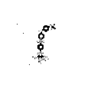 CC1(C)OB(c2ccc(S(=O)(=O)N3CCC(Nc4ccc(OC(F)(F)F)cc4)CC3)cc2)OC1(C)C